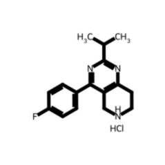 CC(C)c1nc2c(c(-c3ccc(F)cc3)n1)CNCC2.Cl